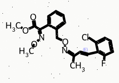 CON=C(C(=O)OC)c1ccccc1CON=C(C)/C=C/c1c(F)cccc1Cl